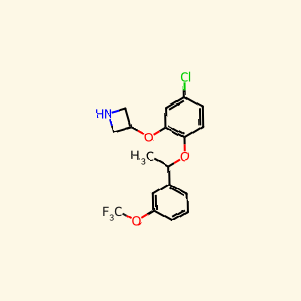 CC(Oc1ccc(Cl)cc1OC1CNC1)c1cccc(OC(F)(F)F)c1